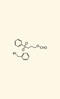 CC(C)Cc1ccccc1.O=COCCCS(=O)(=O)c1ccccc1